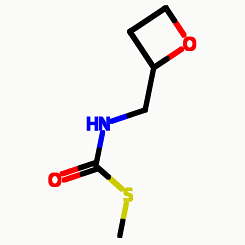 CSC(=O)NCC1CCO1